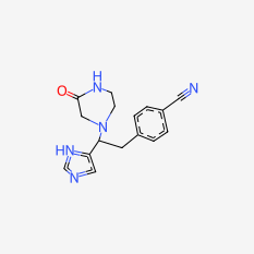 N#Cc1ccc(CC(c2cnc[nH]2)N2CCNC(=O)C2)cc1